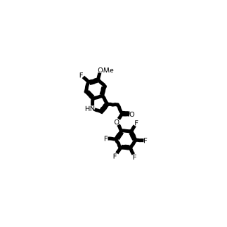 COc1cc2c(CC(=O)Oc3c(F)c(F)c(F)c(F)c3F)c[nH]c2cc1F